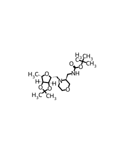 C[C@@H]1O[C@H](CN2CCOC[C@@H]2CNC(=O)OC(C)(C)C)[C@H]2OC(C)(C)O[C@H]21